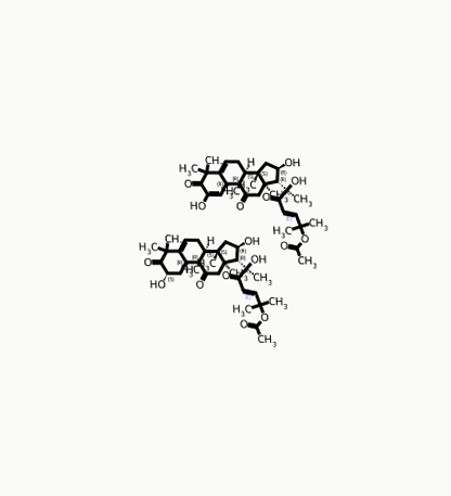 CC(=O)OC(C)(C)/C=C/C(=O)[C@](C)(O)[C@H]1[C@H](O)C[C@@]2(C)[C@@H]3CC=C4[C@@H](C=C(O)C(=O)C4(C)C)[C@]3(C)C(=O)C[C@]12C.CC(=O)OC(C)(C)/C=C/C(=O)[C@](C)(O)[C@H]1[C@H](O)C[C@@]2(C)[C@@H]3CC=C4[C@@H](C[C@H](O)C(=O)C4(C)C)[C@]3(C)C(=O)C[C@]12C